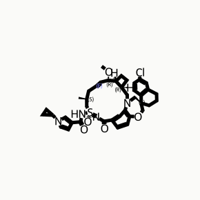 CO[C@H]1/C=C/C[C@H](C)CS(=O)(NC(=O)c2ccn(C3CC3)c2)=NC(=O)c2ccc3c(c2)N(C[C@@H]2CC[C@H]21)C[C@@]1(CCCc2cc(Cl)ccc21)CO3